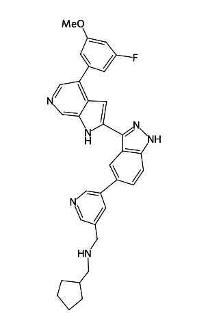 COc1cc(F)cc(-c2cncc3[nH]c(-c4n[nH]c5ccc(-c6cncc(CNCC7CCCC7)c6)cc45)cc23)c1